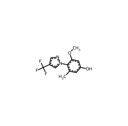 COc1cc(O)cc(C)c1-n1cc(C(F)(F)F)cn1